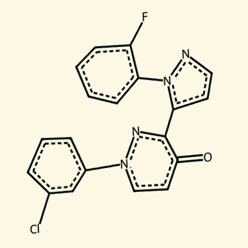 O=c1ccn(-c2cccc(Cl)c2)nc1-c1ccnn1-c1ccccc1F